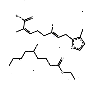 CC(=CCC/C(C)=C/Cc1occc1C)C(=O)O.CCCCC(C)CCCC(=O)OCC